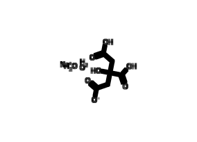 O.O.O=C([O-])CC(O)(CC(=O)O)C(=O)O.[Na+]